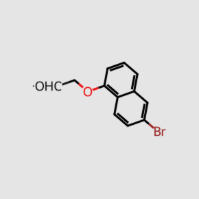 O=[C]COc1cccc2cc(Br)ccc12